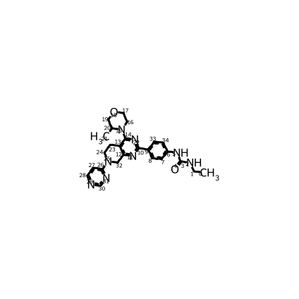 CCNC(=O)Nc1ccc(-c2nc3c(c(N4CCOCC4C)n2)CCN(c2ccncn2)C3)cc1